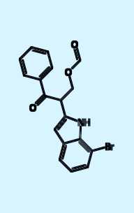 O=COCC(C(=O)c1ccccc1)c1cc2cccc(Br)c2[nH]1